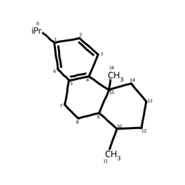 CC(C)c1ccc2c(c1)CCC1C(C)CCCC21C